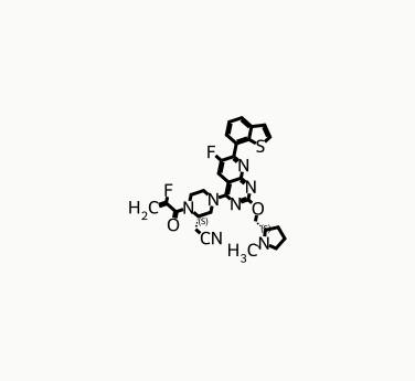 C=C(F)C(=O)N1CCN(c2nc(OC[C@@H]3CCCN3C)nc3nc(-c4cccc5ccsc45)c(F)cc23)C[C@@H]1CC#N